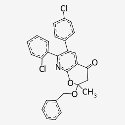 CC1(OCc2ccccc2)CC(=O)c2cc(-c3ccc(Cl)cc3)c(-c3ccccc3Cl)nc2O1